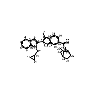 Cc1c(-c2cc3ccccc3n2CC2CC2)oc2cc(C(=O)N3CC4CCC3C4C)ccc12